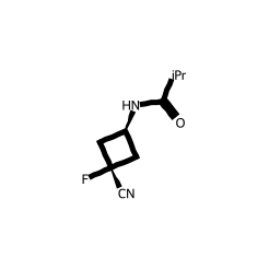 CC(C)C(=O)N[C@H]1C[C@@](F)(C#N)C1